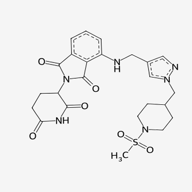 CS(=O)(=O)N1CCC(Cn2cc(CNc3cccc4c3C(=O)N(C3CCC(=O)NC3=O)C4=O)cn2)CC1